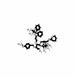 C=C[C@@H](OCc1ccc(OC)cc1)[C@H](OCCCO[Si](c1ccccc1)(c1ccccc1)C(C)(C)C)[C@@H](CC#CCOC1CCCCO1)O[Si](C)(C)C(C)(C)C